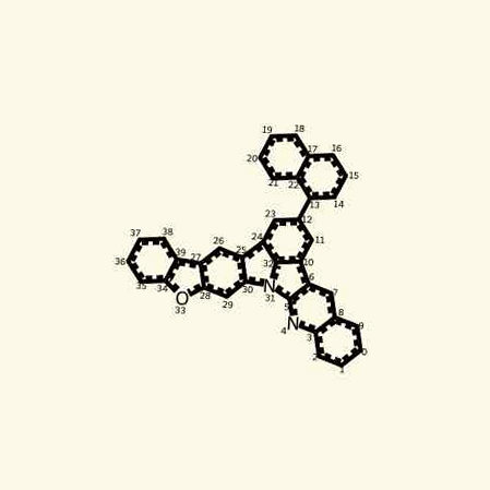 c1ccc2nc3c(cc2c1)c1cc(-c2cccc4ccccc24)cc2c4cc5c(cc4n3c21)oc1ccccc15